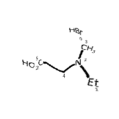 Br.CCN(C)CC(=O)O